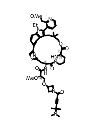 CCn1c(-c2cccnc2COC)c2c3cc(ccc31)-c1csc(n1)C[C@H](NC(=O)[C@@H](COC1CN(C(=O)C#CC(C)(C)N(C)C)C1)OC)C(=O)N1CCC[C@H](N1)C(=O)OCC(C)(C)C2